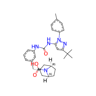 Cc1ccc(-n2nc(C(C)(C)C)cc2NC(=O)Nc2cccc(C[C@@H]3C[C@H]4CC[C@@H](C3)N4C(=O)O)c2)cc1